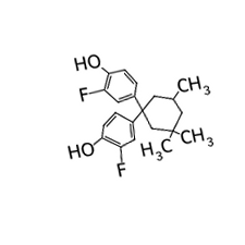 CC1CC(C)(C)CC(c2ccc(O)c(F)c2)(c2ccc(O)c(F)c2)C1